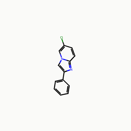 Clc1ccc2nc(-c3ccccc3)[c]n2c1